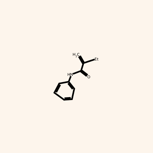 C=C(CC)C(=O)Nc1ccccc1